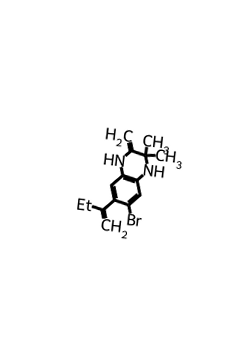 C=C(CC)c1cc2c(cc1Br)NC(C)(C)C(=C)N2